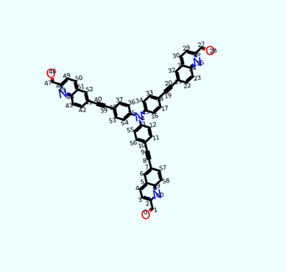 O=Cc1ccc2cc(C#Cc3ccc(N(c4ccc(C#Cc5ccc6nc(C=O)ccc6c5)cc4)c4ccc(C#Cc5ccc6nc(C=O)ccc6c5)cc4)cc3)ccc2n1